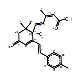 CC(=C/C(=O)O)/C=C/[C@@]1(O)C(/C=C/c2ccc(C)cc2)=CC(=O)CC1(C)C